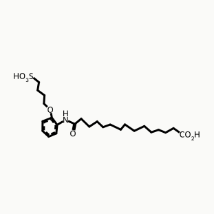 O=C(O)CCCCCCCCCCCCCC(=O)Nc1ccccc1OCCCCS(=O)(=O)O